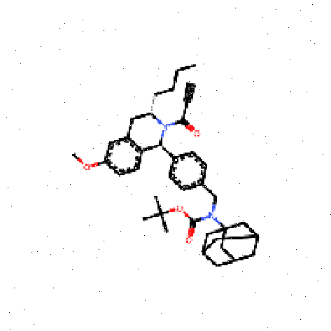 C#CC(=O)N1[C@@H](CCCC)Cc2cc(OC)ccc2[C@@H]1c1ccc(CN(C(=O)OC(C)(C)C)C23CC4CC(CC(C4)C2)C3)cc1